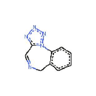 C1=NCc2ccccc2-n2nnnc21